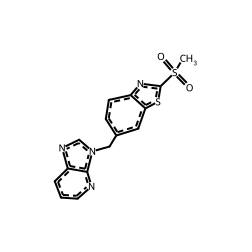 CS(=O)(=O)c1nc2ccc(Cn3cnc4cccnc43)cc2s1